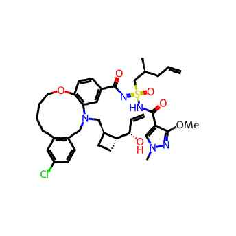 C=CC[C@H](C)CS(=O)(=NC(=O)c1ccc2c(c1)N(C[C@@H]1CC[C@H]1[C@@H](O)C=C)Cc1ccc(Cl)cc1CCCCO2)NC(=O)c1cn(C)nc1OC